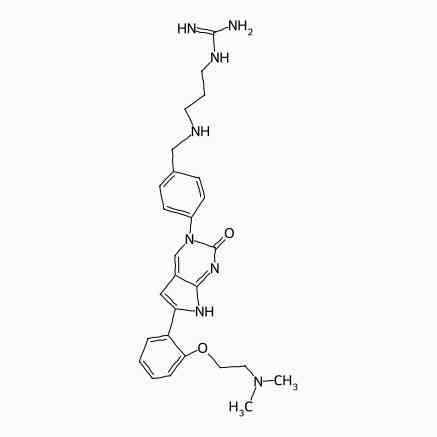 CN(C)CCOc1ccccc1-c1cc2cn(-c3ccc(CNCCCNC(=N)N)cc3)c(=O)nc2[nH]1